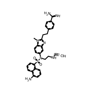 CCNCCN(c1ccc2c(c1)nc(CCc1ccc(C(=N)N)cc1)n2C)S(=O)(=O)c1cccc2c(N)cccc12.Cl.Cl